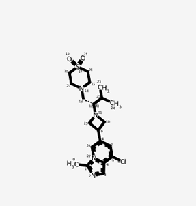 Cc1ncc2c(Cl)cc(C3CN([C@H](CN4CCS(=O)(=O)CC4)C(C)C)C3)cn12